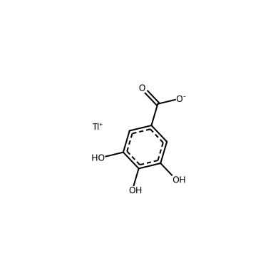 O=C([O-])c1cc(O)c(O)c(O)c1.[Tl+]